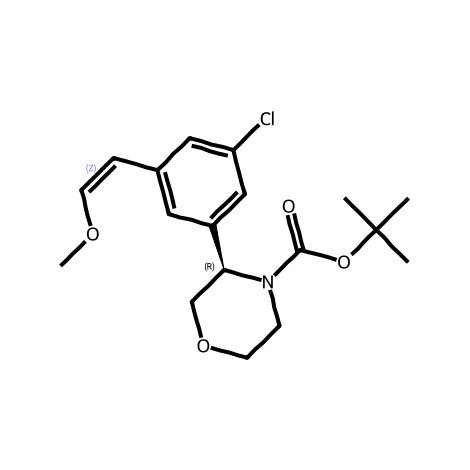 CO/C=C\c1cc(Cl)cc([C@@H]2COCCN2C(=O)OC(C)(C)C)c1